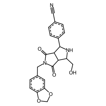 N#Cc1ccc(C2NC(CO)C3C(=O)N(Cc4ccc5c(c4)OCO5)C(=O)C23)cc1